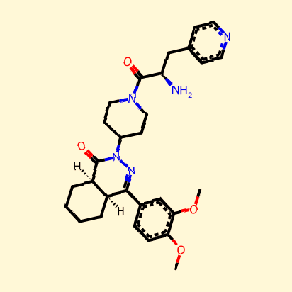 COc1ccc(C2=NN(C3CCN(C(=O)[C@H](N)Cc4ccncc4)CC3)C(=O)[C@@H]3CCCC[C@H]23)cc1OC